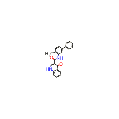 Cc1ccc(-c2ccccc2)cc1NC(=O)c1c[nH]c2ccccc2c1=O